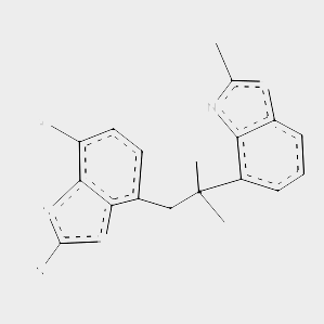 Cc1nc2c(C(C)(C)Cc3ccc(C(C)(C)C)c4nc(N)oc34)cccc2o1